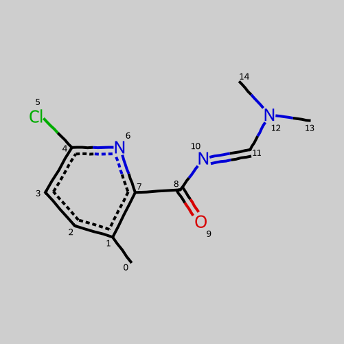 Cc1ccc(Cl)nc1C(=O)/N=C/N(C)C